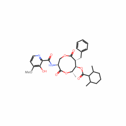 COc1ccnc(C(=O)N[C@H]2COC(=O)[C@H](Cc3ccccc3)[C@@H](OC(=O)C3C(C)CCCC3C)[C@H](C)OC2=O)c1O